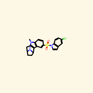 Cn1c2c(c3cc(S(=O)(=O)n4ccc5cc(Cl)ccc54)ccc31)C1CCC(C2)N1